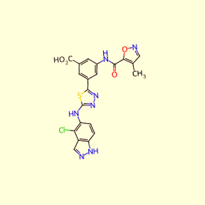 Cc1cnoc1C(=O)Nc1cc(C(=O)O)cc(-c2nnc(Nc3ccc4[nH]ncc4c3Cl)s2)c1